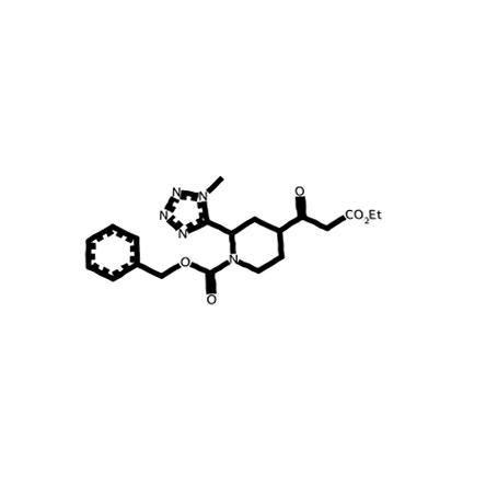 CCOC(=O)CC(=O)C1CCN(C(=O)OCc2ccccc2)C(c2nnnn2C)C1